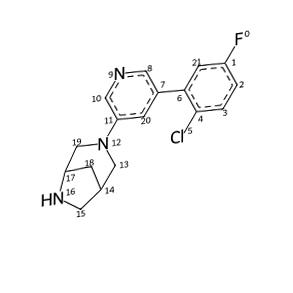 Fc1ccc(Cl)c(-c2cncc(N3CC4CNC(C4)C3)c2)c1